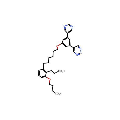 O=C(O)CCCOc1cccc(CCCCCCOc2cc(-c3cncnc3)cc(-c3cncnc3)c2)c1CCC(=O)O